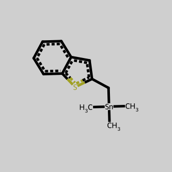 [CH3][Sn]([CH3])([CH3])[CH2]c1cc2ccccc2s1